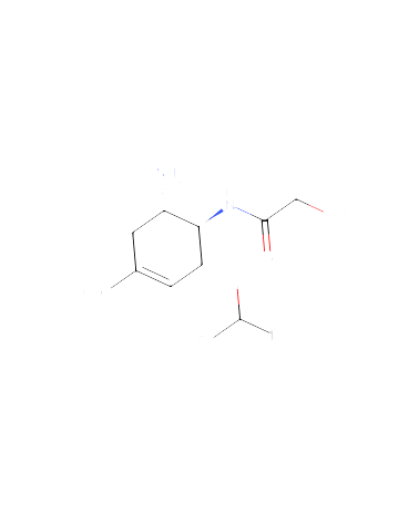 CCC(CC)O[C@@H]1C=C(C(=O)O)C[C@H](N)[C@H]1NC(=O)CO